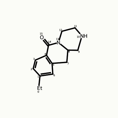 CCc1ccc2c(c1)CC1CNCCN1C2=O